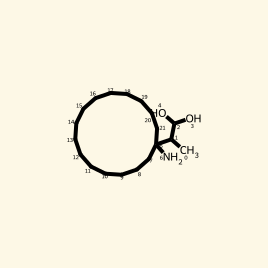 CC(C(O)O)C1(N)CCCCCCCCCCCCCCC1